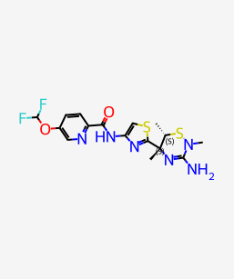 C[C@@H]1SN(C)C(N)=N[C@]1(C)c1nc(NC(=O)c2ccc(OC(F)F)cn2)cs1